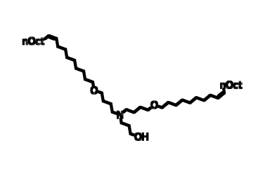 CCCCCCCC/C=C\CCCCCCCCOCCCCN(CCCO)CCCCOCCCCCCCC/C=C\CCCCCCCC